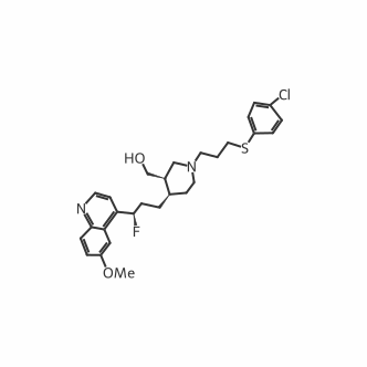 COc1ccc2nccc([C@H](F)CC[C@@H]3CCN(CCCSc4ccc(Cl)cc4)C[C@@H]3CO)c2c1